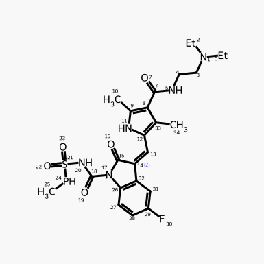 CCN(CC)CCNC(=O)c1c(C)[nH]c(/C=C2\C(=O)N(C(=O)NS(=O)(=O)PC)c3ccc(F)cc32)c1C